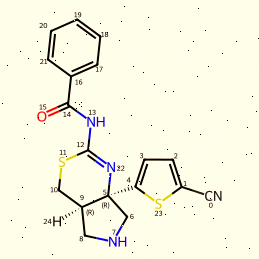 N#Cc1ccc([C@]23CNC[C@H]2CSC(NC(=O)c2ccccc2)=N3)s1